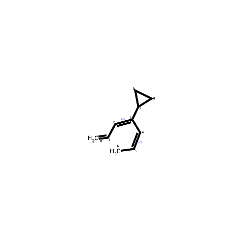 C=C/C=C(\C=C/C)C1CC1